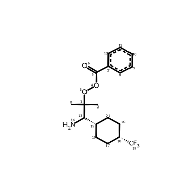 CC(C)(OOC(=O)c1ccccc1)C(N)[C@H]1CC[C@@H](C(F)(F)F)CC1